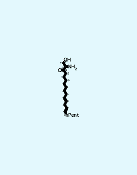 CCCCCC=CCC=CCCCCCCCC(=O)C(N)CO